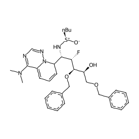 CCCC[S@@+]([O-])N[C@@H](C1C=CC=C2C(N(C)C)=NC=NN21)[C@H](F)[C@H](OCc1ccccc1)[C@@H](O)COCc1ccccc1